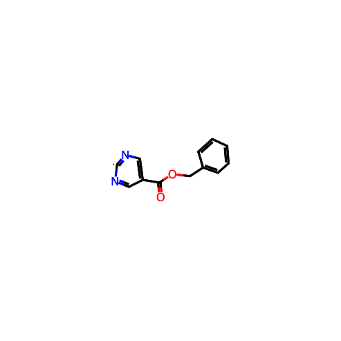 O=C(OCc1ccccc1)c1cn[c]nc1